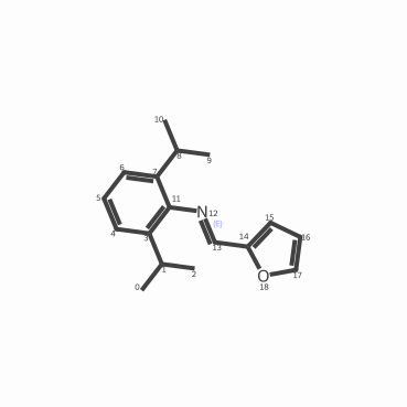 CC(C)c1cccc(C(C)C)c1/N=C/c1ccco1